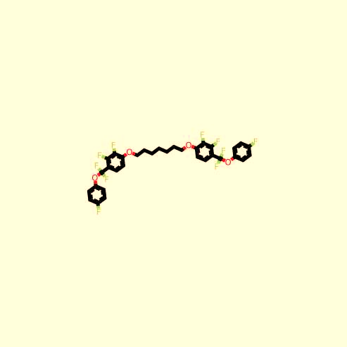 Fc1ccc(OC(F)(F)c2ccc(OCCCCCCCOc3ccc(C(F)(F)Oc4ccc(F)cc4)c(F)c3F)c(F)c2F)cc1